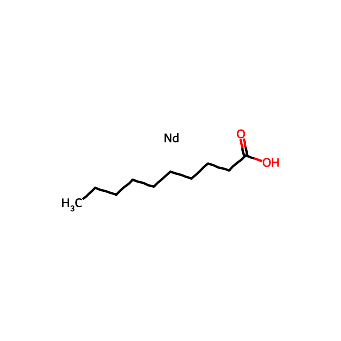 CCCCCCCCCC(=O)O.[Nd]